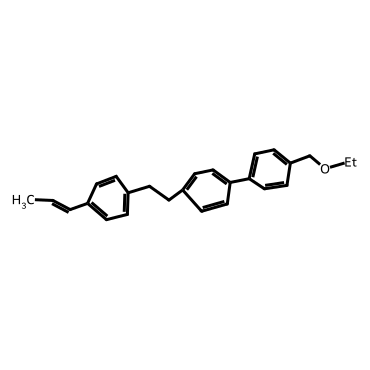 CC=Cc1ccc(CCc2ccc(-c3ccc(COCC)cc3)cc2)cc1